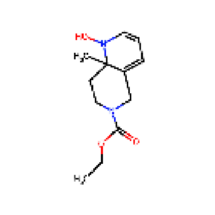 CCOC(=O)N1CCC2(C)C(=CC=CN2O)C1